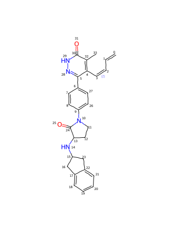 C=C/C=C\c1c(-c2ccc(N3CCC(NC4Cc5ccccc5C4)C3=O)cc2)n[nH]c(=O)c1C